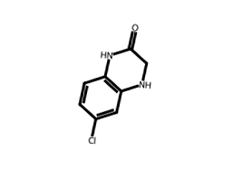 O=C1CNc2cc(Cl)ccc2N1